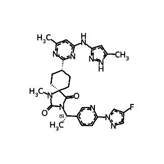 Cc1cc(Nc2cc(C)[nH]n2)nc([C@H]2CC[C@]3(CC2)C(=O)N([C@@H](C)c2ccc(-n4cc(F)cn4)nc2)C(=O)N3C)n1